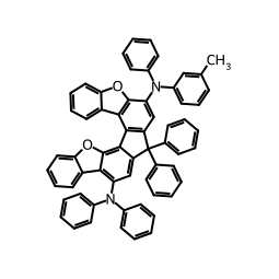 Cc1cccc(N(c2ccccc2)c2cc3c(c4c2oc2ccccc24)-c2c(cc(N(c4ccccc4)c4ccccc4)c4c2oc2ccccc24)C3(c2ccccc2)c2ccccc2)c1